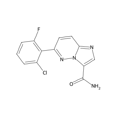 NC(=O)c1cnc2ccc(-c3c(F)cccc3Cl)nn12